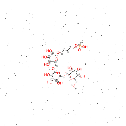 COCC1OC(OCC2OC(OCC3OC(OCCCCCOP(C)(=O)O)C(O)C(O)C3O)C(O)C(O)C2O)C(O)C(O)C1O